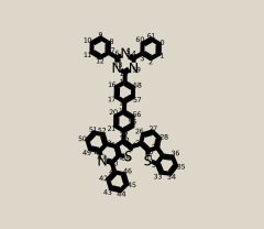 c1ccc(-c2nc(-c3ccccc3)nc(-c3ccc(-c4ccc(-c5c(-c6cccc7c6sc6ccccc67)sc6c(-c7ccccc7)nc7ccccc7c56)cc4)cc3)n2)cc1